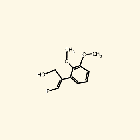 COc1cccc(C(=CF)CO)c1OC